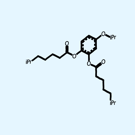 CC(C)CCCCC(=O)Oc1ccc(OC(C)C)cc1OC(=O)CCCCC(C)C